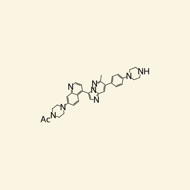 CC(=O)N1CCN(c2ccc3c(-c4cnc5cc(-c6ccc(N7CCNCC7)cc6)c(C)nn45)ccnc3c2)CC1